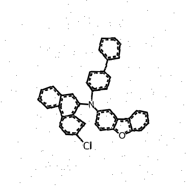 Clc1ccc2c(c1)c(N(c1ccc(-c3ccccc3)cc1)c1ccc3oc4ccccc4c3c1)cc1ccccc12